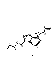 C=CCNc1ccnc2c1nnn2CCCCC